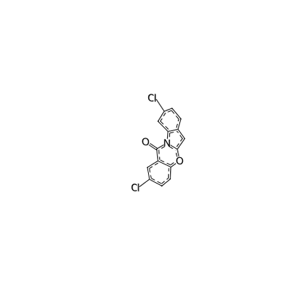 O=c1c2cc(Cl)ccc2oc2cc3ccc(Cl)cc3n12